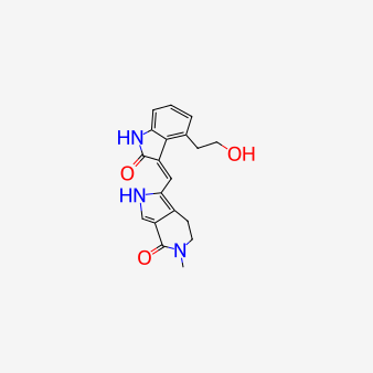 CN1CCc2c(c[nH]c2/C=C2\C(=O)Nc3cccc(CCO)c32)C1=O